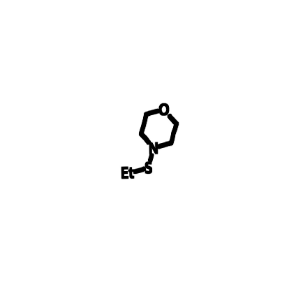 CCSN1CCOCC1